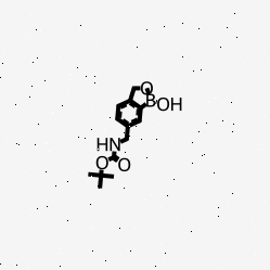 CC(C)(C)OC(=O)NCc1ccc2c(c1)B(O)OC2